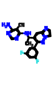 CC(Nc1ncnc(N)c1C#N)c1cc2nccn2nc1-c1cc(F)cc(F)c1